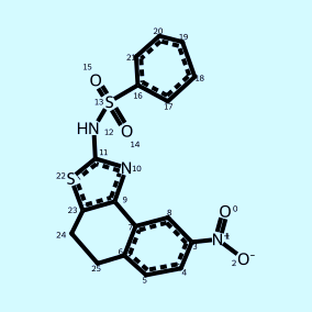 O=[N+]([O-])c1ccc2c(c1)-c1nc(NS(=O)(=O)c3ccccc3)sc1CC2